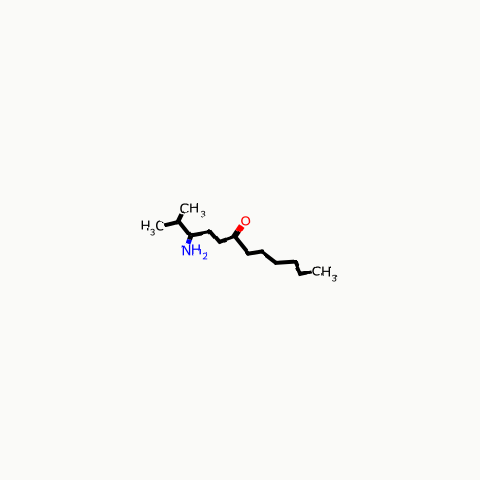 CCCCCCC(=O)CCC(N)C(C)C